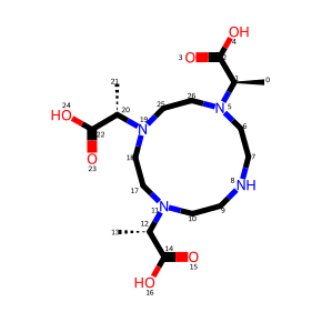 C[C@H](C(=O)O)N1CCNCCN([C@@H](C)C(=O)O)CCN([C@@H](C)C(=O)O)CC1